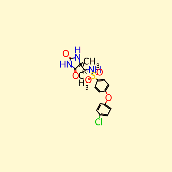 C[C@@H](NS(=O)(=O)c1ccc(Oc2ccc(Cl)cc2)cc1)[C@@]1(C)NC(=O)NC1=O